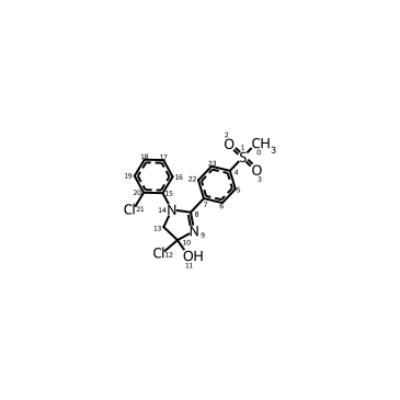 CS(=O)(=O)c1ccc(C2=NC(O)(Cl)CN2c2ccccc2Cl)cc1